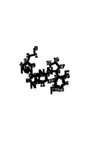 CCCc1cnn(-c2cnn3ccc(N4CCCC4c4cc(F)ccc4F)nc23)c1